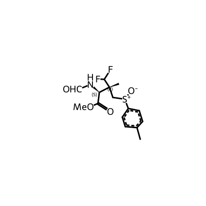 COC(=O)[C@@H](NC=O)[C@@](C)(C[S+]([O-])c1ccc(C)cc1)C(F)F